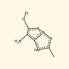 CCOc1nn2nc(C)[nH]c2c1N